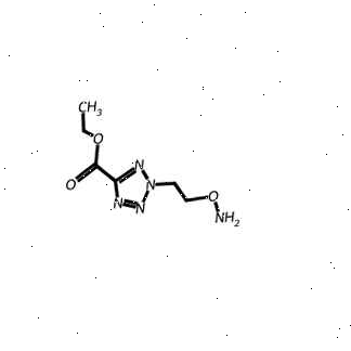 CCOC(=O)c1nnn(CCON)n1